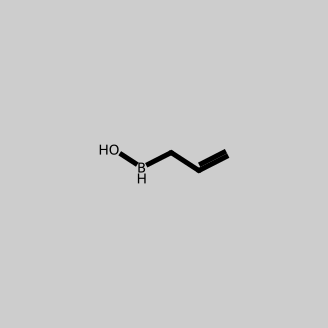 C=CCBO